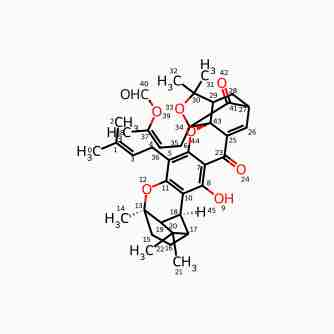 CC(C)=CCc1c2c(c(O)c3c1O[C@]1(C)CCC4[C@H]3C1C4(C)C)C(=O)C1=CC3CC4C(C)(C)OC(C/C=C(/C)OC=O)(C3=O)[C@@]14O2